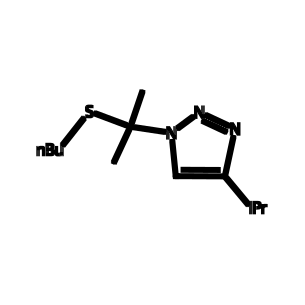 CCCCSC(C)(C)n1cc(C(C)C)nn1